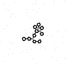 c1ccc(-c2ccc(N(c3ccc(-c4ccc5c(c4)N(c4ccccc4)c4ccccc4[Si]5(c4ccccc4)c4ccccc4)cc3)c3cccc(-c4ccccc4)c3)cc2)cc1